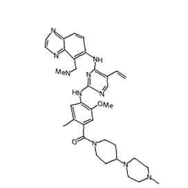 C=Cc1cnc(Nc2cc(C)c(C(=O)N3CCC(N4CCN(C)CC4)CC3)cc2OC)nc1Nc1ccc2nccnc2c1CNC